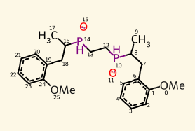 COc1ccccc1CC(C)[PH](=O)CC[PH](=O)C(C)Cc1ccccc1OC